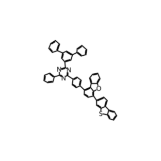 c1ccc(-c2cc(-c3ccccc3)cc(-c3nc(-c4ccccc4)nc(-c4ccc(-c5ccc(-c6ccc7c(c6)sc6ccccc67)c6oc7ccccc7c56)cc4)n3)c2)cc1